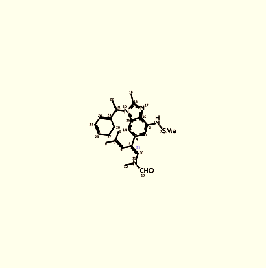 CSNc1cc(/C(C=C(C)C)=C/N(C)C=O)cc2c1nc(C)n2C(C)C1=CC=CCC1